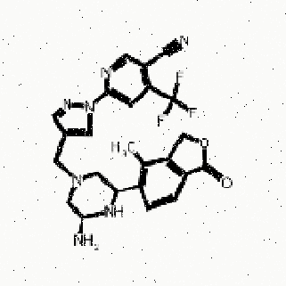 Cc1c([C@@H]2CN(Cc3cnn(-c4cc(C(F)(F)F)c(C#N)cn4)c3)C[C@H](N)N2)ccc2c1COC2=O